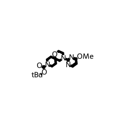 COc1ccnc(N2CCOC3(CCN(C(=O)OC(C)(C)C)CC3)C2)n1